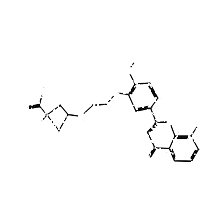 COc1ccc(-c2cc(=O)c3cccc(Cl)c3o2)cc1OCCOC1CC(C)(C(=O)O)C1